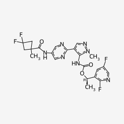 C[C@@H](OC(=O)Nc1c(-c2ncc(NC(=O)C3(C)CC(F)(F)C3)cn2)cnn1C)c1cc(F)cnc1F